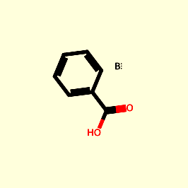 O=C(O)c1ccccc1.[B]